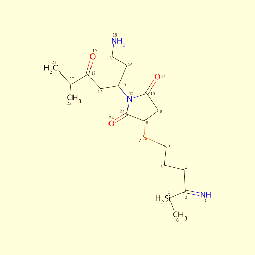 C[SiH2]C(=N)CCCSC1CC(=O)N(C(CCN)CC(=O)C(C)C)C1=O